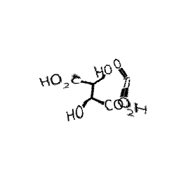 O=C(O)C(O)C(O)C(=O)O.[O]=[Ti]=[O]